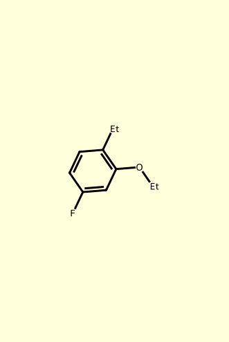 CCOc1cc(F)ccc1CC